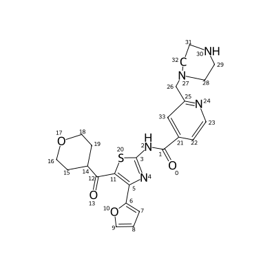 O=C(Nc1nc(-c2ccco2)c(C(=O)C2CCOCC2)s1)c1ccnc(CN2CCNCC2)c1